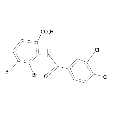 O=C(Nc1c(C(=O)O)ccc(Br)c1Br)c1ccc(Cl)c(Cl)c1